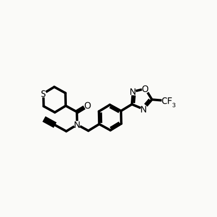 C#CCN(Cc1ccc(-c2noc(C(F)(F)F)n2)cc1)C(=O)C1CCSCC1